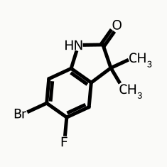 CC1(C)C(=O)Nc2cc(Br)c(F)cc21